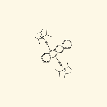 CC(C)[Si](C#Cc1c2ccccc2c(C#C[Si](C(C)C)(C(C)C)C(C)C)c2cc3ccccc3cc12)(C(C)C)C(C)C